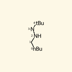 CCCCCN[N]C(C)(C)C